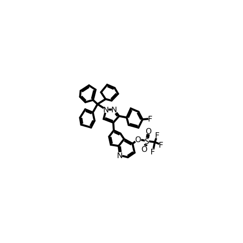 O=S(=O)(Oc1ccnc2ccc(-c3cn(C(c4ccccc4)(c4ccccc4)C4C=CC=CC4)nc3-c3ccc(F)cc3)cc12)C(F)(F)F